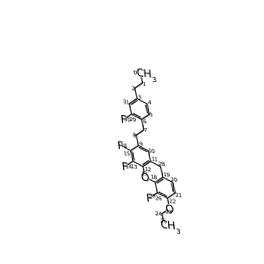 CCCc1ccc(CCc2cc3c(c(F)c2F)Oc2c(ccc(OCC)c2F)C3)c(F)c1